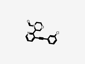 O=CN1CCOCC1c1ncccc1C#Cc1cccc(Cl)c1